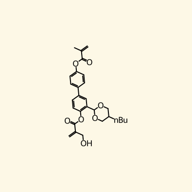 C=C(C)C(=O)Oc1ccc(-c2ccc(OC(=O)C(=C)CO)c(C3OCC(CCCC)CO3)c2)cc1